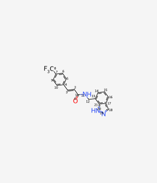 O=C(C=Cc1ccc(C(F)(F)F)cc1)NCc1cccc2cn[nH]c12